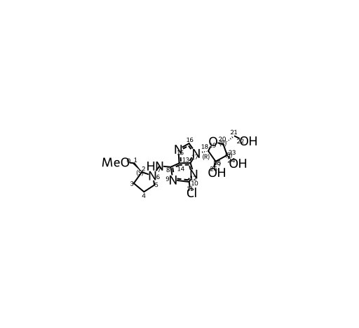 COC[C@@H]1CCCN1Nc1nc(Cl)nc2c1ncn2[C@@H]1O[C@H](CO)[C@@H](O)[C@H]1O